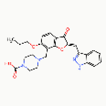 CCCOc1ccc2c(c1CN1CCN(C(=O)O)CC1)O/C(=C\c1n[nH]c3ccccc13)C2=O